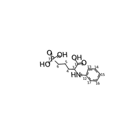 O=C(O)C(CCCP(=O)(O)O)Nc1ccccc1